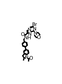 CC(=O)N1c2ccc(-c3ccc(CNC(=O)c4cn5cc(Br)nc(N6CCOCC6)c5n4)cc3)cc2CC1C